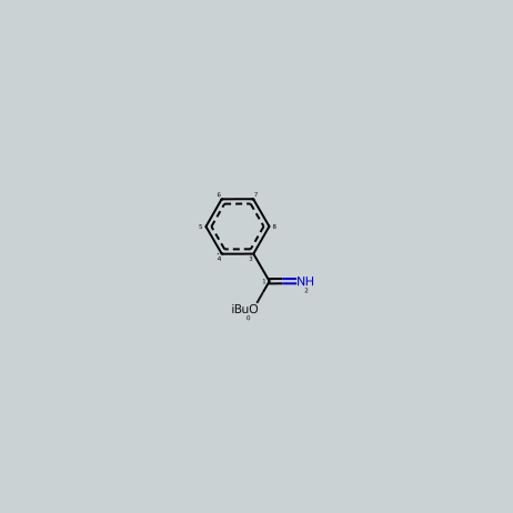 CC(C)COC(=N)c1[c]cccc1